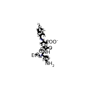 CCO/N=C(\C(=O)N[C@@H]1C(=O)N2C(C(=O)[O-])=C(/C=C/c3sc4cn(C)c[n+]4c3C)CS[C@H]12)c1csc(N)n1